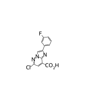 O=C(O)c1cc(Cl)nn2cc(-c3cccc(F)c3)nc12